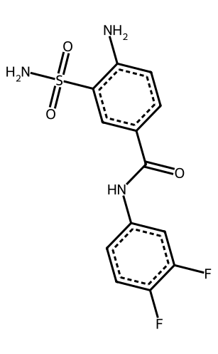 Nc1ccc(C(=O)Nc2ccc(F)c(F)c2)cc1S(N)(=O)=O